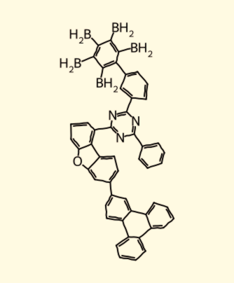 Bc1c(B)c(B)c(-c2cccc(-c3nc(-c4ccccc4)nc(-c4cccc5oc6cc(-c7ccc8c9ccccc9c9ccccc9c8c7)ccc6c45)n3)c2)c(B)c1B